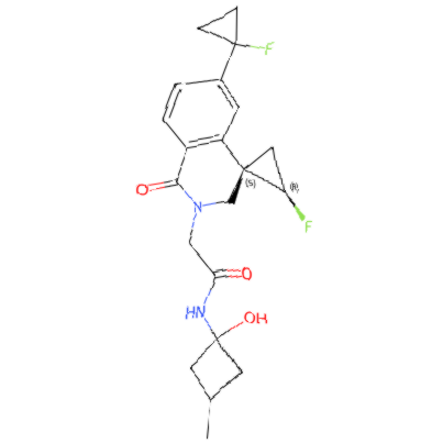 CC1CC(O)(NC(=O)CN2C[C@]3(C[C@H]3F)c3cc(C4(F)CC4)ccc3C2=O)C1